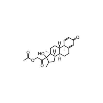 CC(=O)OCC(=O)[C@@]1(O)C(C)C[C@H]2[C@@H]3CCC4=CC(=O)C=C[C@]4(C)[C@H]3CC[C@@]21C